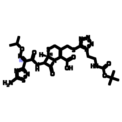 CC(C)O/N=C(\C(=O)NC1C(=O)N2C(C(=O)O)=C(CSc3nnnn3CCNC(=O)OC(C)(C)C)CS[C@H]12)c1nsc(N)n1